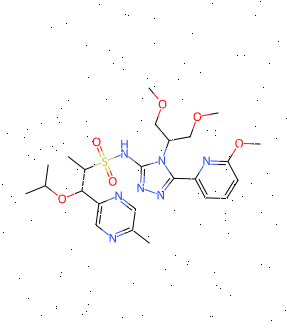 COCC(COC)n1c(NS(=O)(=O)C(C)C(OC(C)C)c2cnc(C)cn2)nnc1-c1cccc(OC)n1